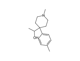 Cc1ccc(C2(C(C)O)CCN(C)CC2)cc1